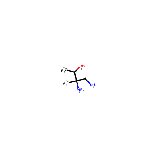 CC(O)C(C)(N)CN